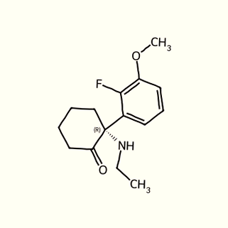 CCN[C@@]1(c2cccc(OC)c2F)CCCCC1=O